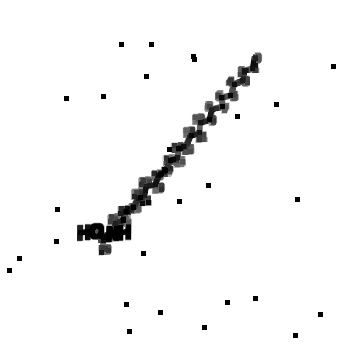 CCCCCCCCCCCCCCCCCCCCCCCCCCCNC(C)O